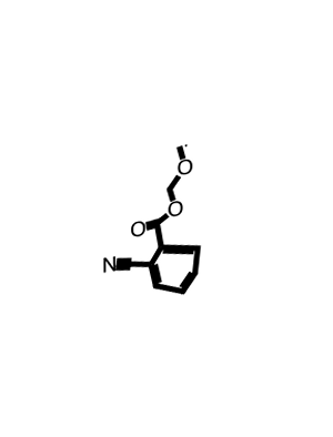 [CH2]OCOC(=O)c1ccccc1C#N